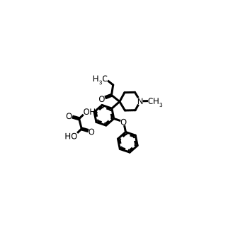 CCC(=O)C1(c2ccccc2Oc2ccccc2)CCN(C)CC1.O=C(O)C(=O)O